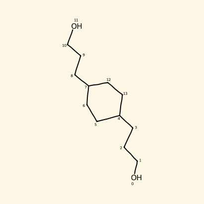 OCCCC1CCC(CCCO)CC1